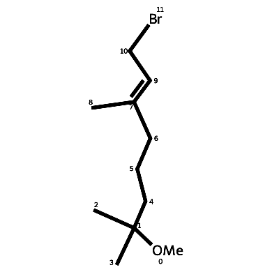 COC(C)(C)CCC/C(C)=C/CBr